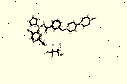 CN1CCN(C2CCN(Cc3cccc(C(=O)NN(c4nc(C#N)ncc4Br)C4CCCC4)c3)CC2)CC1.O=C(O)C(F)(F)F